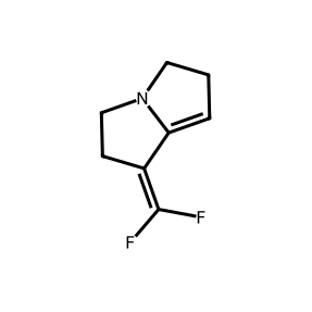 FC(F)=C1CCN2CCC=C12